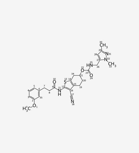 COc1cccc(CCC(=O)Nc2sc3c(c2C#N)CCC(OC(=O)NCc2cc(C)nn2C)C3)c1